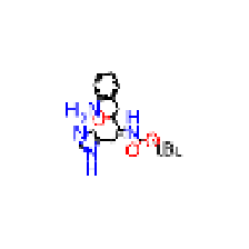 CC(C)(C)OC(=O)N[C@@H](Cc1cnc[nH]1)C(=O)Cc1ccccc1N